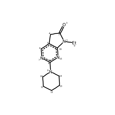 CCN1C(=O)Cc2cnc(N3CCCCC3)nc21